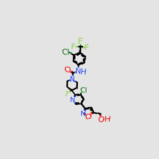 O=C(Nc1ccc(C(F)(F)F)c(Cl)c1)N1CCC(F)(c2ncc(-c3cc(CO)on3)cc2Cl)CC1